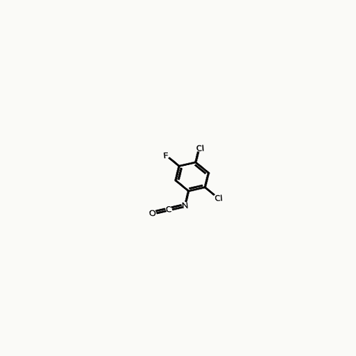 O=C=Nc1cc(F)c(Cl)cc1Cl